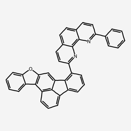 c1ccc(-c2ccc3ccc4ccc(-c5cccc6c5-c5cc7oc8ccccc8c7c7cccc-6c57)nc4c3n2)cc1